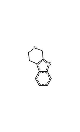 c1ccc2c3c(sc2c1)C[N]CC3